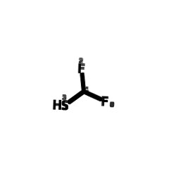 FC(F)S